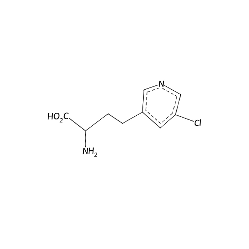 NC(CCc1cncc(Cl)c1)C(=O)O